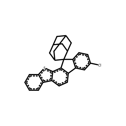 Clc1ccc2c(c1)-c1ccc3c(sc4ccccc43)c1C21C2CC3CC(C2)CC1C3